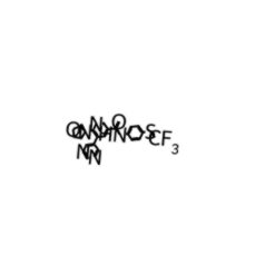 O=C(Nc1ccc(SC(F)(F)F)cc1)c1cnc(N2CCOC2)c(-c2cncnc2)c1